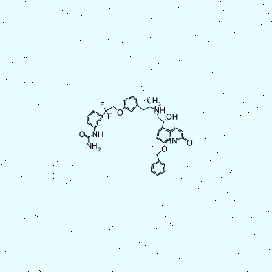 C[C@@H](Cc1cccc(OCC(F)(F)c2cccc(NC(N)=O)c2)c1)NC[C@H](O)c1ccc(OCc2ccccc2)c2[nH]c(=O)ccc12